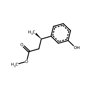 COC(=O)C[C@@H](C)c1cccc(O)c1